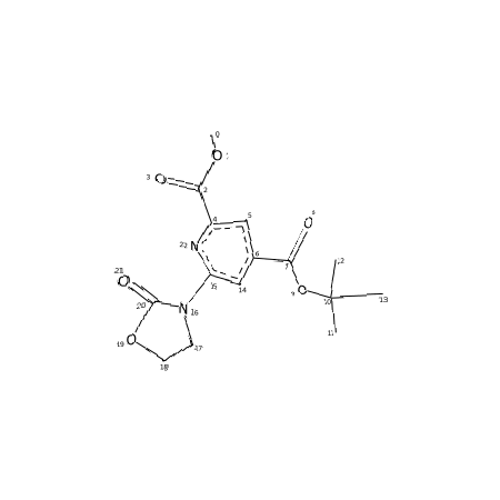 COC(=O)c1cc(C(=O)OC(C)(C)C)cc(N2CCOC2=O)n1